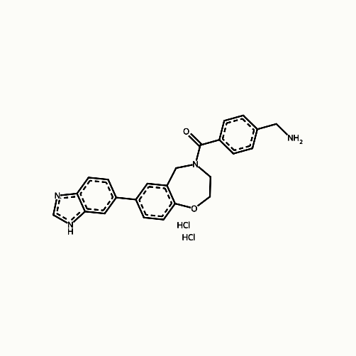 Cl.Cl.NCc1ccc(C(=O)N2CCOc3ccc(-c4ccc5nc[nH]c5c4)cc3C2)cc1